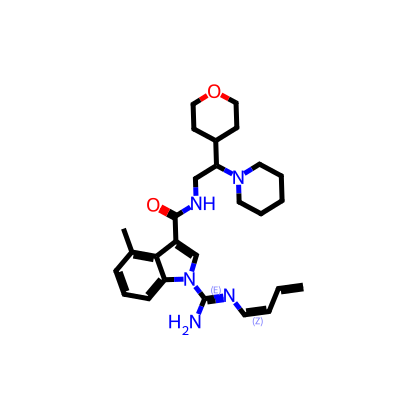 C=C/C=C\N=C(/N)n1cc(C(=O)NCC(C2CCOCC2)N2CCCCC2)c2c(C)cccc21